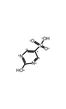 O=S(=O)(O)c1cnc(O)nc1